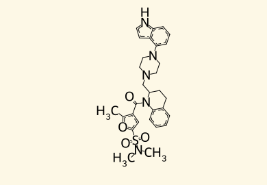 Cc1oc(S(=O)(=O)N(C)C)cc1C(=O)N1c2ccccc2CCC1CN1CCN(c2cccc3[nH]ccc23)CC1